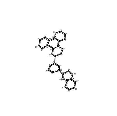 c1cc(-c2ccc3c4ccccc4c4ccncc4c3c2)cc(-c2ccc3ccccc3n2)c1